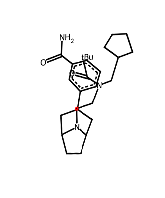 CC(C)(C)C(=O)N(CCN1C2CCC1CC(c1cccc(C(N)=O)c1)C2)CC1CCCC1